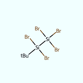 CC(C)(C)[Si](Br)(Br)[Si](Br)(Br)Br